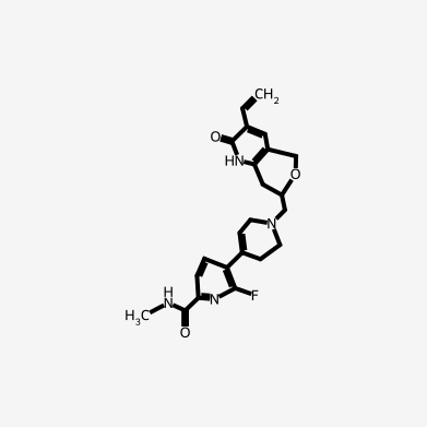 C=Cc1cc2c([nH]c1=O)CC(CN1CC=C(c3ccc(C(=O)NC)nc3F)CC1)OC2